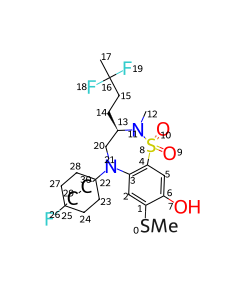 CSc1cc2c(cc1O)S(=O)(=O)N(C)[C@H](CCC(C)(F)F)CN2C12CCC(F)(CC1)CC2